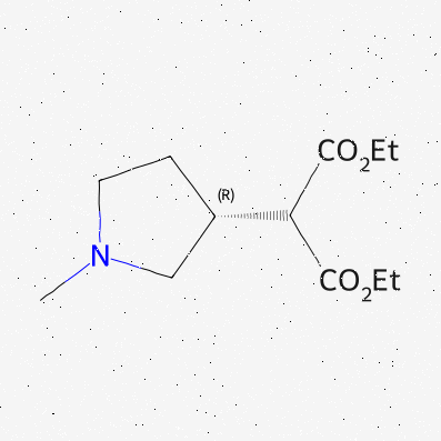 CCOC(=O)C(C(=O)OCC)[C@H]1CCN(C)C1